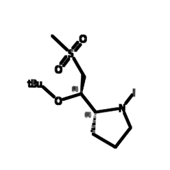 CC(C)(C)O[C@@H](CS(C)(=O)=O)[C@H]1CCCN1I